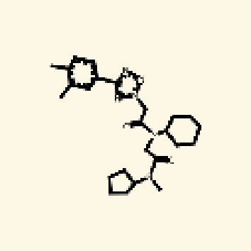 Cc1ccc(-c2nnn(CC(=O)N(CC(=O)N(C)C3CCCC3)C3CCCCC3)n2)cc1C